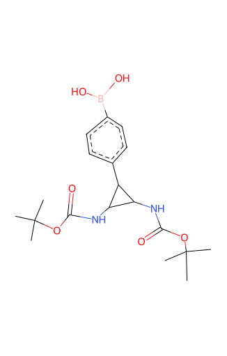 CC(C)(C)OC(=O)NC1C(NC(=O)OC(C)(C)C)C1c1ccc(B(O)O)cc1